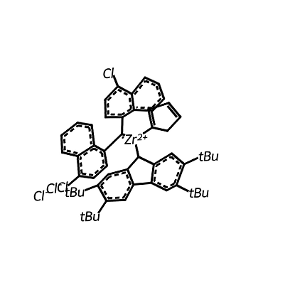 CC(C)(C)c1cc2c(cc1C(C)(C)C)[CH]([Zr+2]([C]1=CC=CC1)=[C](c1ccc(Cl)c3ccccc13)c1ccc(Cl)c3ccccc13)c1cc(C(C)(C)C)c(C(C)(C)C)cc1-2.[Cl-].[Cl-]